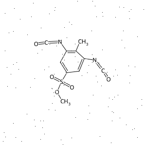 COS(=O)(=O)c1cc(N=C=O)c(C)c(N=C=O)c1